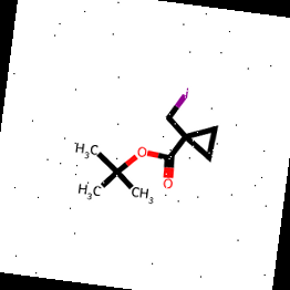 CC(C)(C)OC(=O)C1(CI)CC1